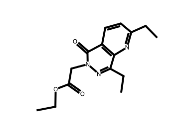 CCOC(=O)Cn1nc(CC)c2nc(CC)ccc2c1=O